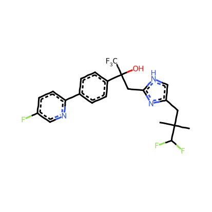 CC(C)(Cc1c[nH]c(CC(O)(c2ccc(-c3ccc(F)cn3)cc2)C(F)(F)F)n1)C(F)F